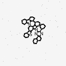 c1ccc(-c2nc3ccc4ccccc4c3nc2-n2c3cccc4c5cccc6c7ccccc7n(c7cc8c9ccccc9sc8c2c7c43)c56)cc1